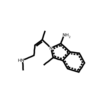 CNC/C=C(/C)n1c(C)c2ccccc2c1N